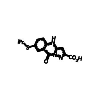 CC(C)Sc1ccc2[nH]c3cc(C(=O)O)nn3c(=O)c2c1